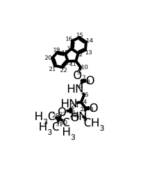 CNC(=O)C(CNC(=O)OCC1c2ccccc2-c2ccccc21)NC(=O)OC(C)(C)C